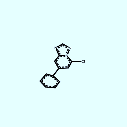 Clc1cc(-c2ccccc2)cc2ncnn12